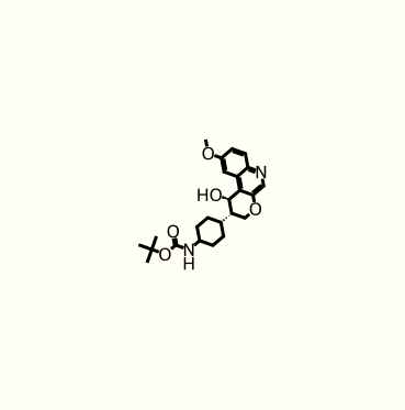 COc1ccc2ncc3c(c2c1)[C@H](O)[C@@H](C1CCC(NC(=O)OC(C)(C)C)CC1)CO3